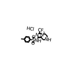 Cc1ccc(S(=O)(=O)Nc2nc(C(F)(F)F)n3c2CNCC3)cc1.Cl